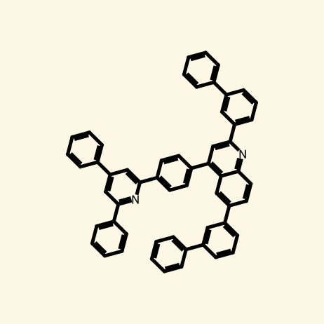 c1ccc(-c2cccc(-c3ccc4nc(-c5cccc(-c6ccccc6)c5)cc(-c5ccc(-c6cc(-c7ccccc7)cc(-c7ccccc7)n6)cc5)c4c3)c2)cc1